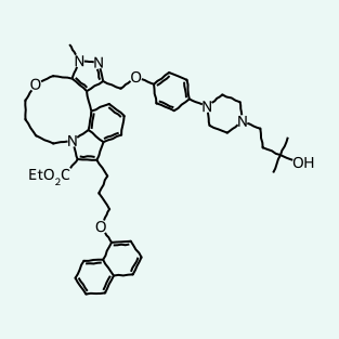 CCOC(=O)c1c(CCCOc2cccc3ccccc23)c2cccc3c2n1CCCCOCc1c-3c(COc2ccc(N3CCN(CCC(C)(C)O)CC3)cc2)nn1C